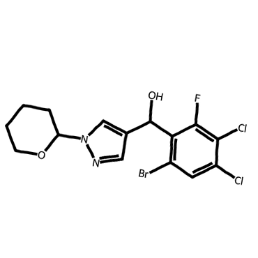 OC(c1cnn(C2CCCCO2)c1)c1c(Br)cc(Cl)c(Cl)c1F